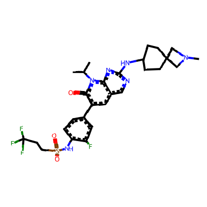 CC(C)n1c(=O)c(-c2ccc(NS(=O)(=O)CCC(F)(F)F)c(F)c2)cc2cnc(NC3CCC4(CC3)CN(C)C4)nc21